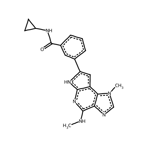 CNc1nc2[nH]c(-c3cccc(C(=O)NC4CC4)c3)cc2c2c1ncn2C